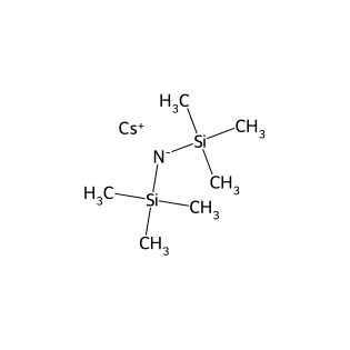 C[Si](C)(C)[N-][Si](C)(C)C.[Cs+]